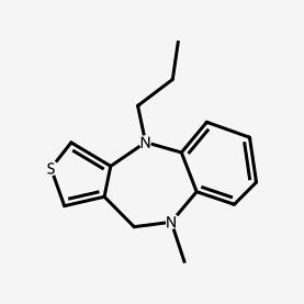 CCCN1c2cscc2CN(C)c2ccccc21